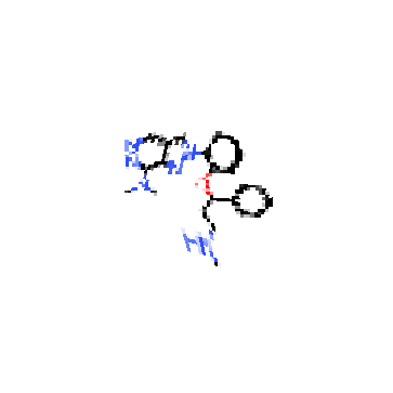 CNCCC(Oc1ccccc1-n1cc2cnnc(N(C)C)c2n1)c1ccccc1